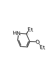 CCOC1=CC=CN[C]1CC